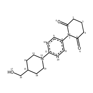 O=C1CCCC(=O)N1c1cnc(N2CCC(CO)CC2)nc1